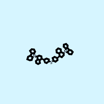 c1ccc2c(-n3c4ccccc4c4ccccc43)ccc(-c3ccc(Sc4ccc(-c5ccc(-n6c7ccccc7c7ccccc76)c6ccccc56)cc4)cc3)c2c1